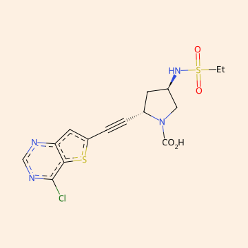 CCS(=O)(=O)N[C@@H]1C[C@@H](C#Cc2cc3ncnc(Cl)c3s2)N(C(=O)O)C1